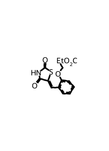 CCOC(=O)COc1ccccc1/C=C1\SC(=O)NC1=O